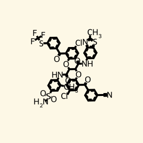 Cc1nc2cc(NC(=O)C(Oc3ccc(Cl)cc3C(=O)c3cccc(C#N)c3)C(Oc3ccc(Cl)cc3C(=O)c3cccc(SC(F)(F)F)c3)C(=O)Nc3ccc(S(N)(=O)=O)cc3C)ccc2s1